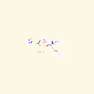 Cl.Cl.NNC(=O)CO/N=C(/C(=O)NC1C(=O)N2C(C(=O)O)=C(CSc3nncs3)CS[C@H]12)c1csc(N)n1